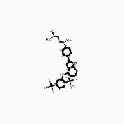 CN(C)CCN(C)c1ccc(-c2cc3c(Nc4cc(C(F)(F)F)ccc4P(C)(C)=O)ccnc3[nH]2)cc1